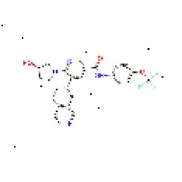 O=C(Nc1ccc(OC(F)(F)F)cc1)c1cnc(N2CC[C@@H](O)C2)c(-c2ccc3ccncc3c2)c1